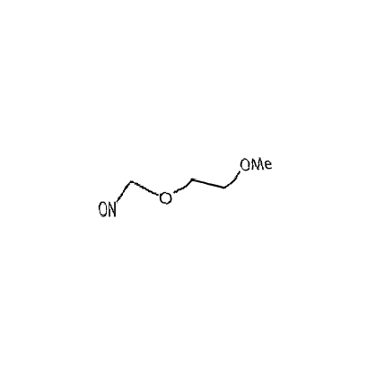 COCCOCN=O